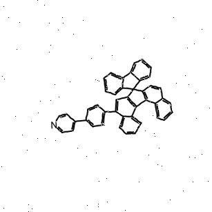 c1ccc2c(c1)-c1ccccc1C21c2ccc3ccccc3c2-c2c1cc(-c1ccc(-c3ccncc3)cc1)c1ccccc21